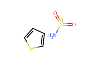 N[SH](=O)=O.c1ccsc1